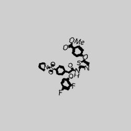 COC(=O)c1ccc(Oc2cnc(NC(=O)C(Oc3ccc(F)cc3F)c3ccc(S(=O)(=O)N4CCCC4)cc3)s2)cc1